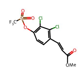 COC(=O)C=Cc1ccc(OS(=O)(=O)C(F)(F)F)c(Cl)c1Cl